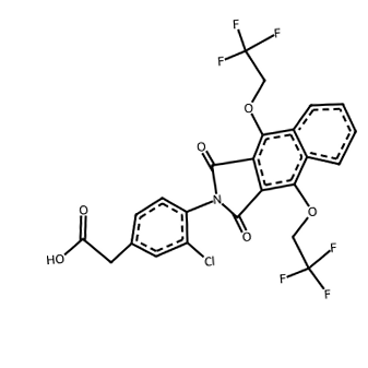 O=C(O)Cc1ccc(N2C(=O)c3c(c(OCC(F)(F)F)c4ccccc4c3OCC(F)(F)F)C2=O)c(Cl)c1